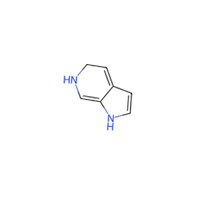 C1=c2cc[nH]c2=CNC1